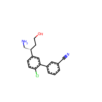 N#Cc1cccc(-c2cc([C@H](CN)CCO)ccc2Cl)c1